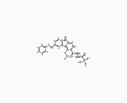 COCc1c(C(=O)NNC(=O)C(F)(F)F)ncc2[nH]c3ccc(OCc4ccccc4)cc3c12